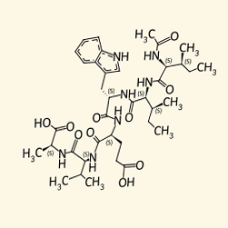 CC[C@H](C)[C@H](NC(C)=O)C(=O)N[C@H](C(=O)N[C@@H](Cc1c[nH]c2ccccc12)C(=O)N[C@@H](CCC(=O)O)C(=O)N[C@H](C(=O)N[C@@H](C)C(=O)O)C(C)C)[C@@H](C)CC